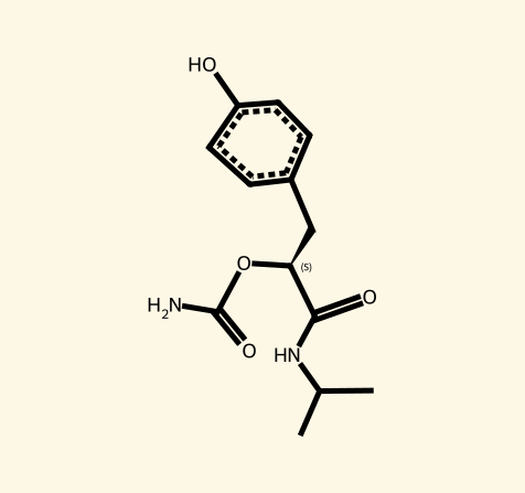 CC(C)NC(=O)[C@H](Cc1ccc(O)cc1)OC(N)=O